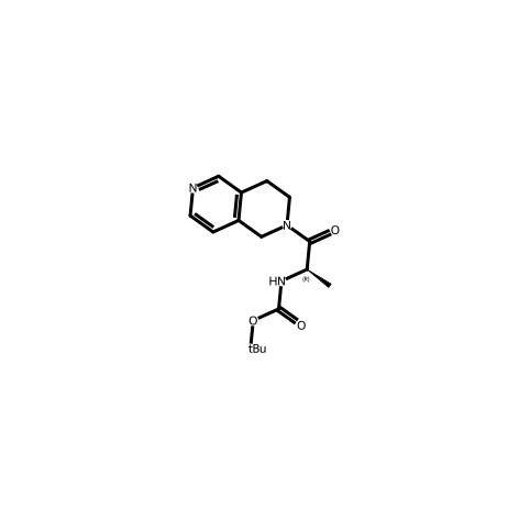 C[C@@H](NC(=O)OC(C)(C)C)C(=O)N1CCc2cnccc2C1